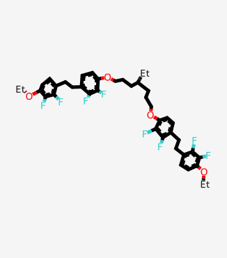 CCOc1ccc(CCc2ccc(OCCCC(CC)CCCOc3ccc(CCc4ccc(OCC)c(F)c4F)c(F)c3F)c(F)c2F)c(F)c1F